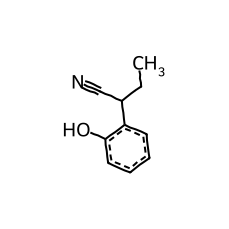 CCC(C#N)c1ccccc1O